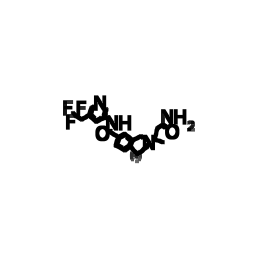 CC(CC(N)=O)N1Cc2cc(C(=O)Nc3cncc(CC(F)(F)F)c3)ccc2[C@@H](C)C1